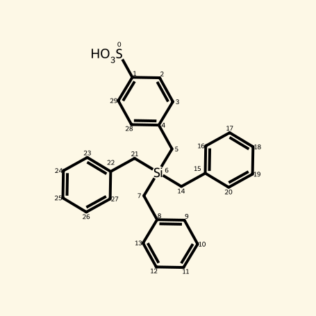 O=S(=O)(O)c1ccc(C[Si](Cc2ccccc2)(Cc2ccccc2)Cc2ccccc2)cc1